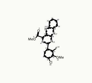 COC(=O)c1nc(-c2ccc(Cl)c(OC)c2F)nc2nc3ccccc3nc12